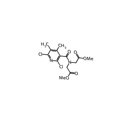 COC(=O)CN(CC(=O)OC)C(=O)c1c(Cl)nc(Cl)c(C)c1C